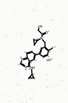 Cl.N#CCC(=O)N(Cc1cc(-c2ccc3ncnc(NC4CC4)c3c2)ccc1F)C1CC1